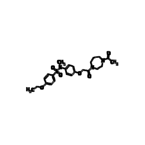 CCOc1ccc(S(=O)(=O)N(C)c2ccc(OCC(=O)N3CCCN(C(C)=O)CC3)cc2)cc1